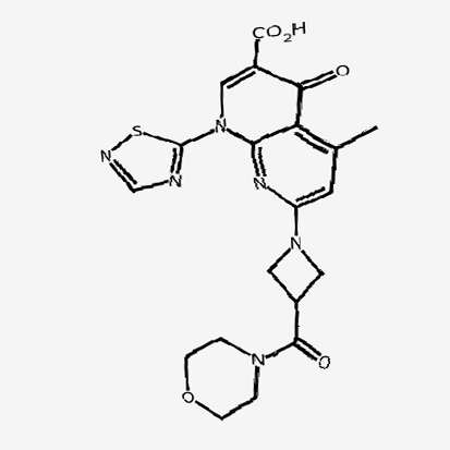 Cc1cc(N2CC(C(=O)N3CCOCC3)C2)nc2c1c(=O)c(C(=O)O)cn2-c1ncns1